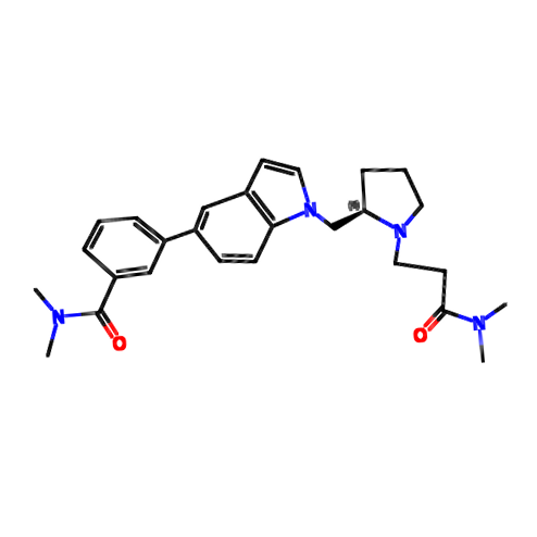 CN(C)C(=O)CCN1CCC[C@@H]1Cn1ccc2cc(-c3cccc(C(=O)N(C)C)c3)ccc21